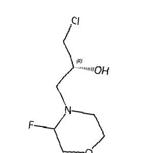 O[C@@H](CCl)CN1CCOCC1F